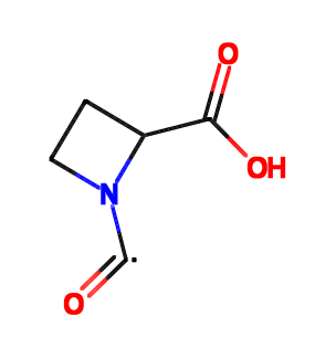 O=[C]N1CCC1C(=O)O